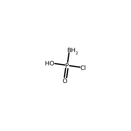 BP(=O)(O)Cl